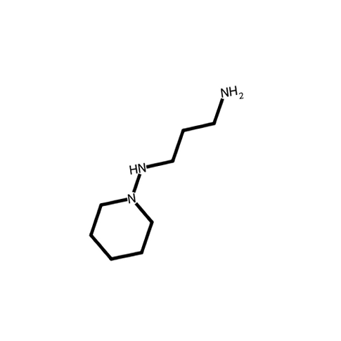 NCCCNN1CCCCC1